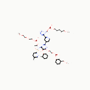 COc1ccccc1Oc1c(OCCOC(=O)Oc2cccc(CO[N+](=O)[O-])c2)nc(-c2ccnc(-c3nnnn3COC(=O)OCCCCCO[N+](=O)[O-])c2)nc1N(C(C)OC(=O)OCCOCCO[N+](=O)[O-])S(=O)(=O)c1ccc(C)cn1